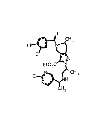 CCOC(=O)c1c2c(nn1[C@H](C)CNC(C)c1cnc(Cl)nc1)C[C@@H](C)N(C(=O)c1ccc(Cl)c(Cl)c1)C2